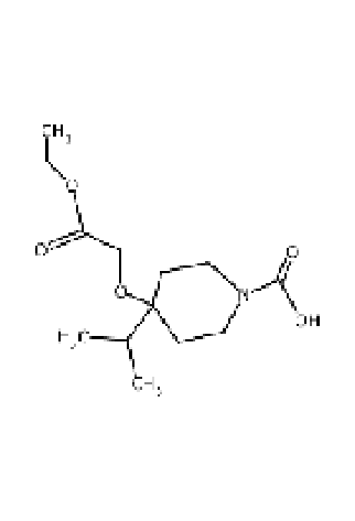 CCOC(=O)COC1(C(C)C)CCN(C(=O)O)CC1